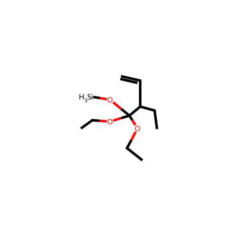 C=CC(CC)C(O[SiH3])(OCC)OCC